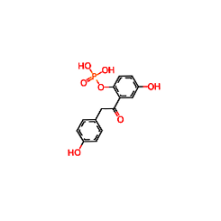 O=C(Cc1ccc(O)cc1)c1cc(O)ccc1OP(=O)(O)O